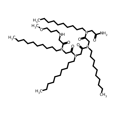 CCCCCCCCCCN(CC(N)=O)C(=O)CN(CCCCCCCCCC)C(=O)CN(CCCCCCCCCC)C(=O)CN(CCCCCCCCCC)C(=O)CNCCCOC